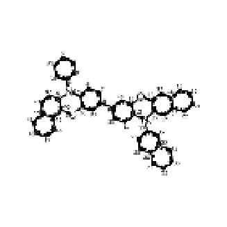 c1ccc(N2c3ccc(-c4ccc5c(c4)Oc4cc6ccccc6cc4N5c4ccc5ccccc5c4)cc3Oc3c2ccc2ccccc32)cc1